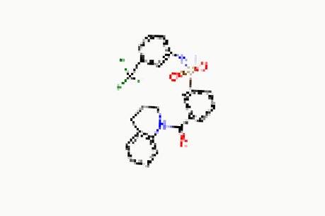 O=C(c1cccc(S(=O)(=O)Nc2cccc(C(F)(F)F)c2)c1)N1CCCc2ccccc21